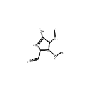 COC1C(O)=NC(C=O)C1OC